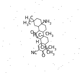 CC1(C)CC[C@]2(N)CC[C@]3(C)C(C(=O)C[C@@H]4[C@@]5(C)C=C(C#N)C(=O)C(C)(C)C5CC[C@]43C)C2C1